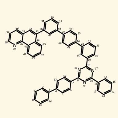 c1ccc(-c2ccc(-c3nc(-c4ccccc4)nc(-c4cccc(-c5ccc(-c6cccc(-c7cc8cccnc8c8ccccc78)c6)cc5)c4)n3)cc2)cc1